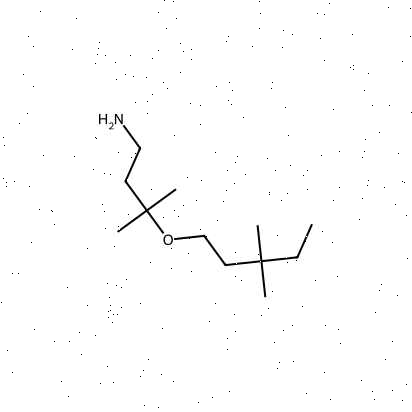 CCC(C)(C)CCOC(C)(C)CCN